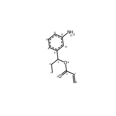 C=CC(=O)OC(CC)c1cccc(N)c1